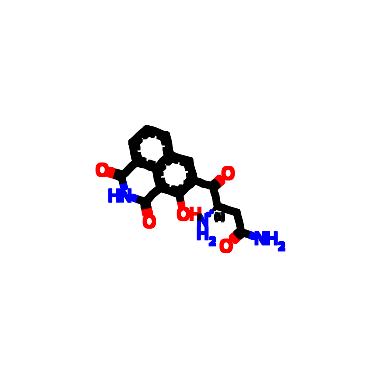 NC(=O)C[C@H](N)C(=O)c1cc2cccc3c2c(c1O)C(=O)NC3=O